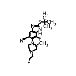 C[C@H]1CN(CCF)CCN1c1c(C#N)cc2nc(SC(C)(C)C)[nH]c2c1F